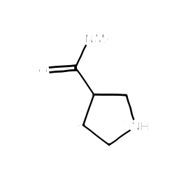 CNC(=O)C1CCNC1